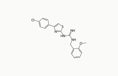 COc1ccccc1CNC(=N)Nc1nc(-c2ccc(Cl)cc2)cs1